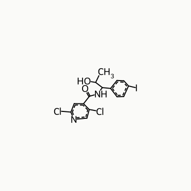 CC(O)C(NC(=O)c1cc(Cl)ncc1Cl)c1ccc(I)cc1